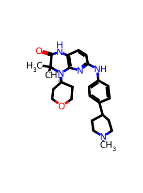 CN1CCC(c2ccc(Nc3ccc4c(n3)N(C3CCOCC3)C(C)(C)C(=O)N4)cc2)CC1